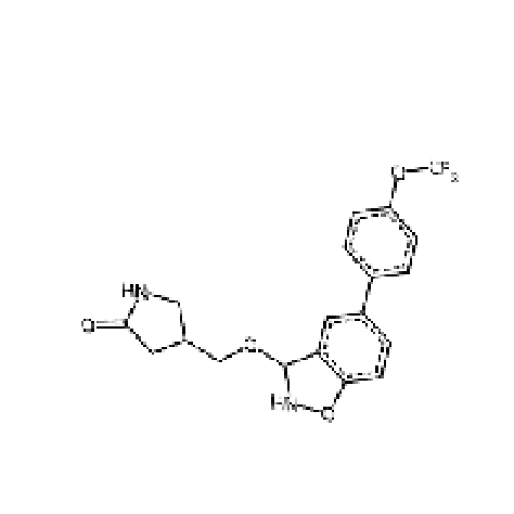 O=C1CC(COC2NOc3ccc(-c4ccc(OC(F)(F)F)cc4)cc32)CN1